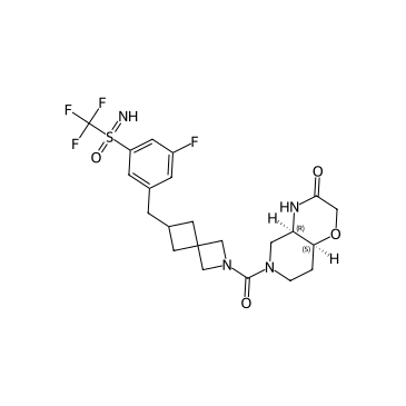 N=S(=O)(c1cc(F)cc(CC2CC3(C2)CN(C(=O)N2CC[C@@H]4OCC(=O)N[C@@H]4C2)C3)c1)C(F)(F)F